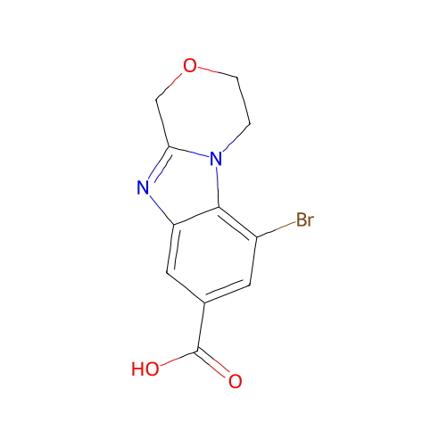 O=C(O)c1cc(Br)c2c(c1)nc1n2CCOC1